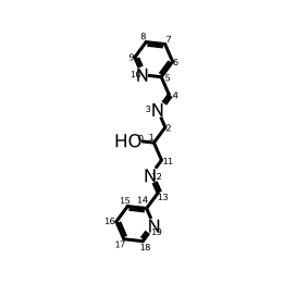 OC(CN=Cc1ccccn1)CN=Cc1ccccn1